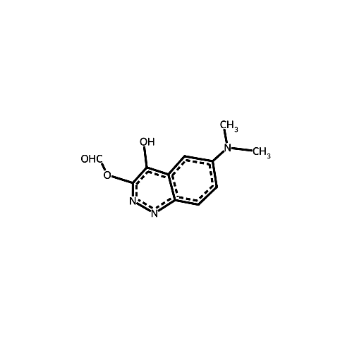 CN(C)c1ccc2nnc(OC=O)c(O)c2c1